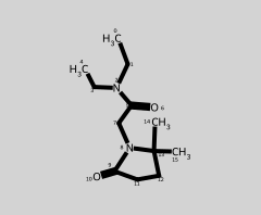 CCN(CC)C(=O)CN1C(=O)CCC1(C)C